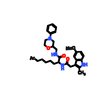 COc1ccc2[nH]c(C)c(CC(=O)NC(CCCCCC(C)=O)C(=O)NCC3CN(c4ccccc4)CCO3)c2c1